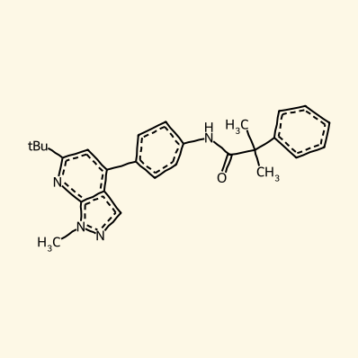 Cn1ncc2c(-c3ccc(NC(=O)C(C)(C)c4ccccc4)cc3)cc(C(C)(C)C)nc21